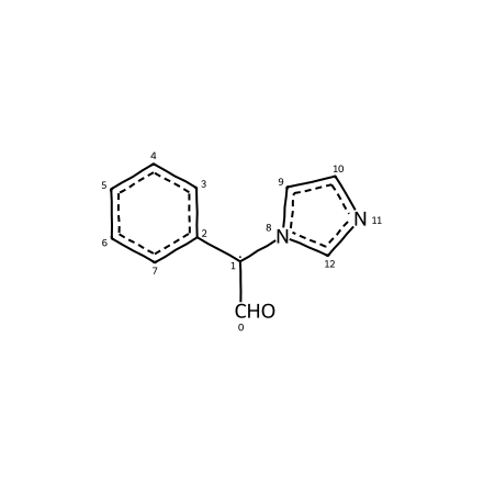 O=C[C](c1ccccc1)n1ccnc1